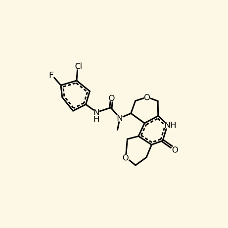 CN(C(=O)Nc1ccc(F)c(Cl)c1)C1COCc2[nH]c(=O)c3c(c21)COCC3